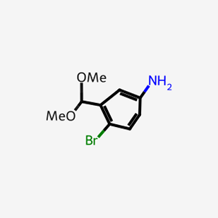 COC(OC)c1cc(N)ccc1Br